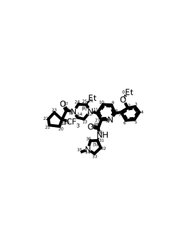 CCOc1ccccc1-c1ccc(N2CCN(C(=O)C3(C(F)(F)F)CCCC3)C[C@H]2CC)c(C(=O)N[C@H]2CCN(C)C2)n1